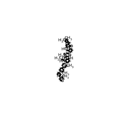 C=CC(=O)Nc1cc(Nc2nc(N3CCCC(N4CCn5c(cc6c5CC(C)(C)C6)C4=O)C3CO)cn(C)c2=O)ccc1N1CCN(C2CCN(c3ccnc(N4CCOC[C@@H]4C)c3)[C@H](C)C2)C[C@@H]1C